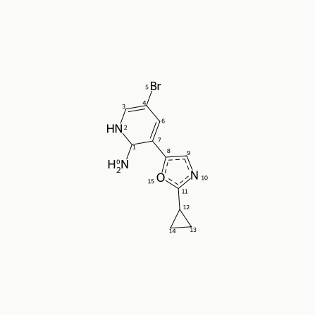 NC1NC=C(Br)C=C1c1cnc(C2CC2)o1